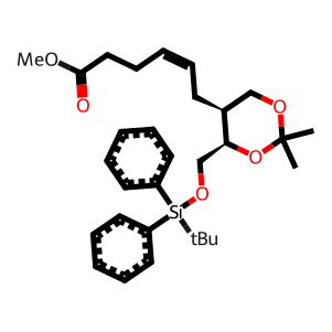 COC(=O)CC/C=C\C[C@H]1COC(C)(C)O[C@H]1CO[Si](c1ccccc1)(c1ccccc1)C(C)(C)C